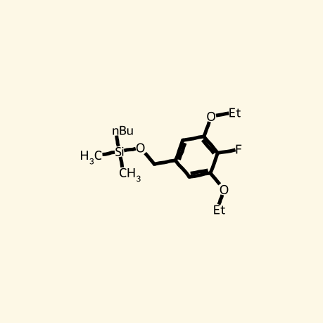 CCCC[Si](C)(C)OCc1cc(OCC)c(F)c(OCC)c1